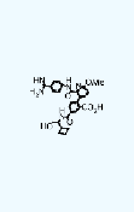 COc1ccc(-c2ccc(C(=O)NC(CO)C3CCC3)cc2C(=O)O)c(C(=O)Nc2ccc(C(=N)N)cc2)n1